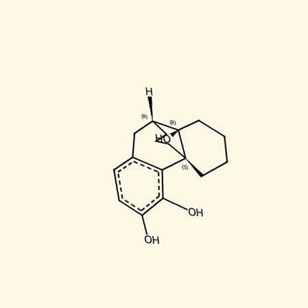 Oc1ccc2c(c1O)[C@@]13CCCC[C@@]1(O)[C@H](CCC3)C2